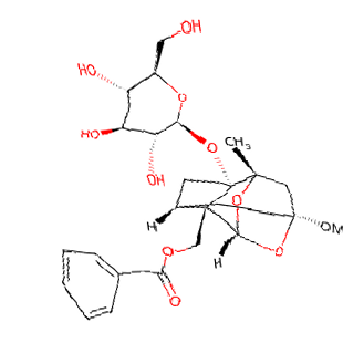 CO[C@]12C[C@]3(C)O[C@H](O1)[C@]1(COC(=O)c4ccccc4)[C@@H]2C[C@]13O[C@@H]1O[C@H](CO)[C@@H](O)[C@H](O)[C@H]1O